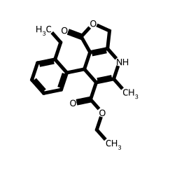 CCOC(=O)C1=C(C)NC2=C(C(=O)OC2)C1c1ccccc1CC